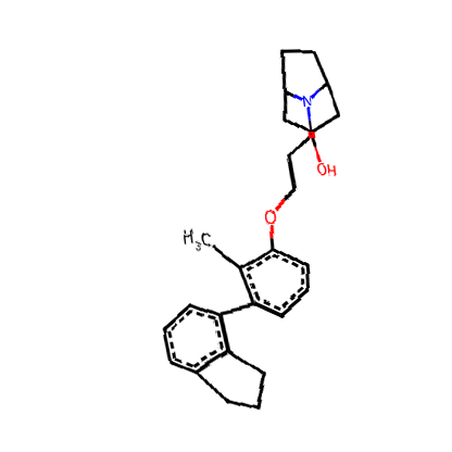 Cc1c(OCCCN2C3CCC2CC(O)C3)cccc1-c1cccc2c1CCC2